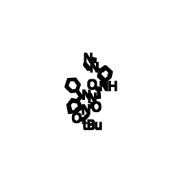 CC(C)(C)C(=O)CN1C(=O)N(CC(=O)Nc2cccc(-n3ccnc3)c2)N=C(C2CCCCC2)c2ccccc21